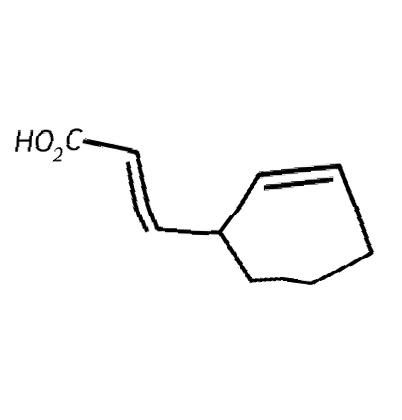 O=C(O)/C=C/C1C=CCCC1